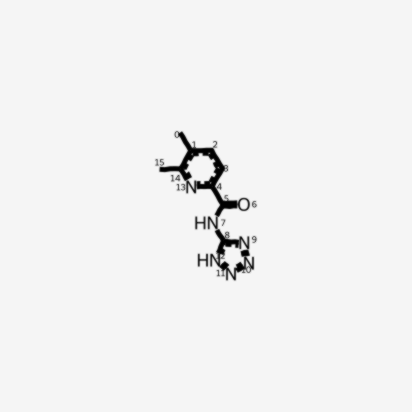 Cc1ccc(C(=O)Nc2nnn[nH]2)nc1C